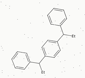 CCC(c1ccccc1)c1ccc(C(CC)c2ccccc2)cc1